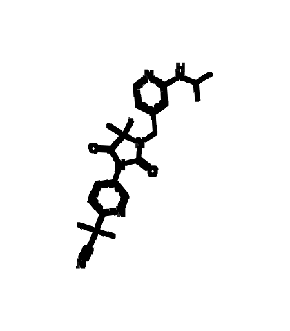 CC(C)Nc1cc(CN2C(=O)N(c3ccc(C(C)(C)C#N)nc3)C(=O)C2(C)C)ccn1